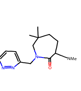 CNC1CCC(C)(C)CN(Cc2cccnn2)C1=O